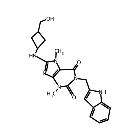 Cn1c(NC2CC(CO)C2)nc2c1c(=O)n(Cc1cc3ccccc3[nH]1)c(=O)n2C